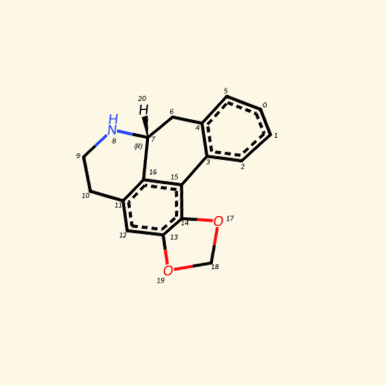 c1ccc2c(c1)C[C@H]1NCCc3cc4c(c-2c31)OCO4